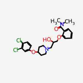 CN(C)C(=O)c1ccccc1OCC(O)CN1CCC(Oc2ccc(Cl)c(Cl)c2)CC1